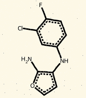 Nc1occc1Nc1ccc(F)c(Cl)c1